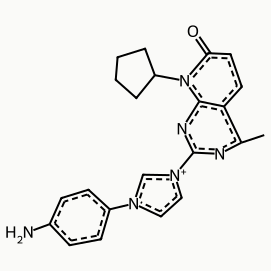 Cc1nc(-[n+]2ccn(-c3ccc(N)cc3)c2)nc2c1ccc(=O)n2C1CCCC1